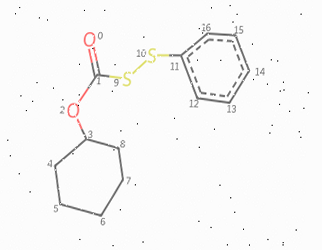 O=C(OC1CCCCC1)SSc1ccccc1